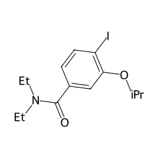 CCN(CC)C(=O)c1ccc(I)c(OC(C)C)c1